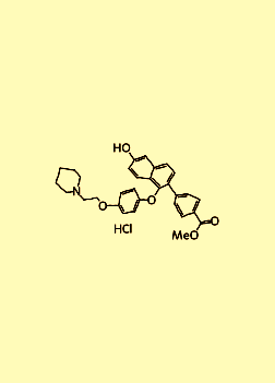 COC(=O)c1ccc(-c2ccc3cc(O)ccc3c2Oc2ccc(OCCN3CCCCC3)cc2)cc1.Cl